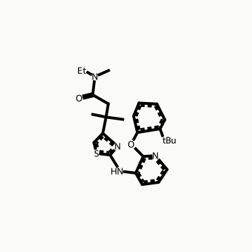 CCN(C)C(=O)CC(C)(C)c1csc(Nc2cccnc2Oc2ccccc2C(C)(C)C)n1